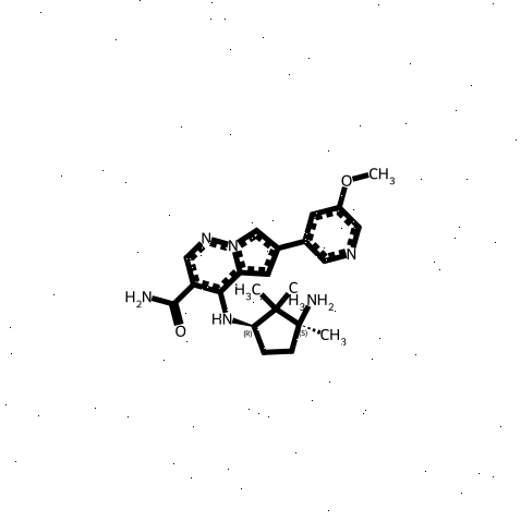 COc1cncc(-c2cc3c(N[C@@H]4CC[C@](C)(N)C4(C)C)c(C(N)=O)cnn3c2)c1